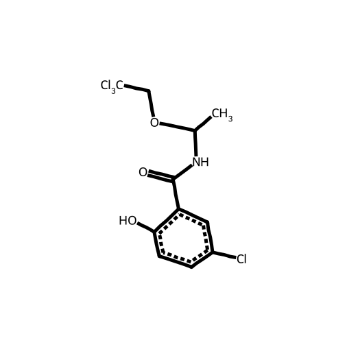 CC(NC(=O)c1cc(Cl)ccc1O)OCC(Cl)(Cl)Cl